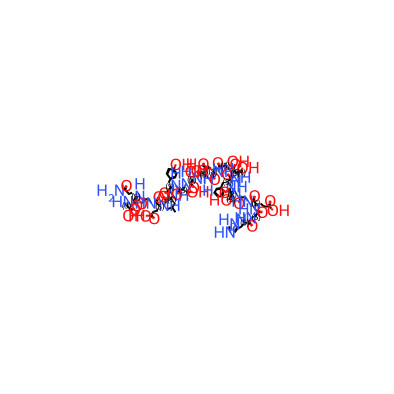 CC(C)C[C@H](NC(=O)[C@H](Cc1ccc(O)cc1)NC(=O)[C@H](CO)NC(=O)[C@H](CO)NC(=O)[C@@H](NC(=O)[C@H](CC(=O)O)NC(=O)[C@H](CO)NC(=O)[C@@H](NC(=O)[C@H](Cc1ccccc1)NC(=O)[C@H](NC(=O)CNC(=O)[C@H](CCC(=O)O)NC(=O)[C@H](C)NC(=O)[C@@H](N)Cc1c[nH]cn1)[C@H](C)O)[C@@H](C)O)C(C)C)C(=O)N[C@@H](CCC(=O)O)C(=O)NCC(=O)N[C@@H](CCC(N)=O)C(=O)N[C@@H](C)C(=O)O